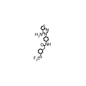 NC1c2ccsc2N=CN1c1ccc(NC(=O)Cc2cccc(SC(F)(F)F)c2)cc1